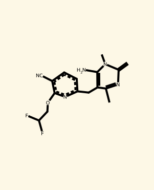 C=C1N=C(C)C(Cc2ccc(C#N)c(OCC(F)F)n2)=C(N)N1C